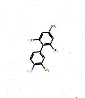 Nc1cc(C(F)(F)F)c(-c2ccc(N)c(C(F)(F)F)c2)c(C(F)(F)F)c1